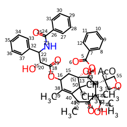 CC(=O)OC1([C@H]2[C@H](OC(=O)c3ccccc3)[C@]3(O)CC(OC(=O)[C@H](O)C(NC(=O)c4ccccc4)c4ccccc4)C(C)=C([C@@H](C)C(=O)[C@]2(C)[C@H](C)O)C3(C)C)COC1